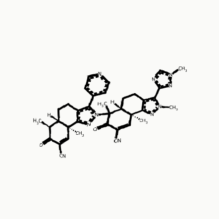 C[C@@H]1C(=O)C(C#N)=C[C@]2(C)c3nn(C4(C)C(=O)C(C#N)=C[C@]5(C)c6nn(C)c(-c7ncn(C)n7)c6CC[C@@H]45)c(-c4ccncc4)c3CC[C@@H]12